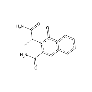 C[C@H](C(N)=O)n1c(C(N)=O)cc2[c]cccc2c1=O